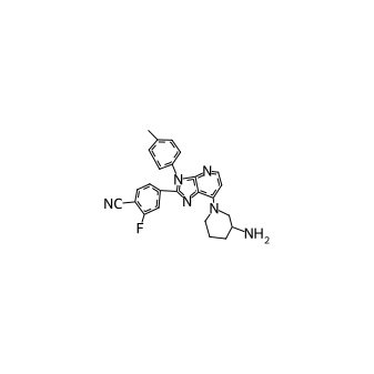 Cc1ccc(-n2c(-c3ccc(C#N)c(F)c3)nc3c(N4CCCC(N)C4)ccnc32)cc1